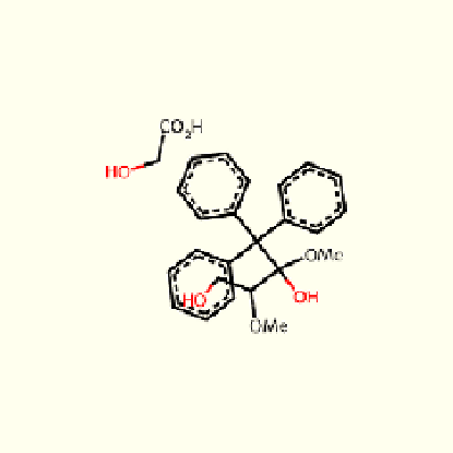 COC(CO)C(O)(OC)C(c1ccccc1)(c1ccccc1)c1ccccc1.O=C(O)CO